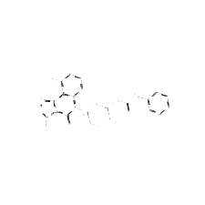 Cc1onc2c1c(=O)n([C@@H]1CCC[C@H](NC(=O)Nc3ccccc3)C1)c1cccc(Cl)c21